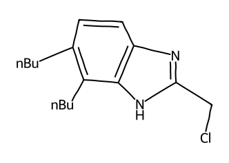 CCCCc1ccc2nc(CCl)[nH]c2c1CCCC